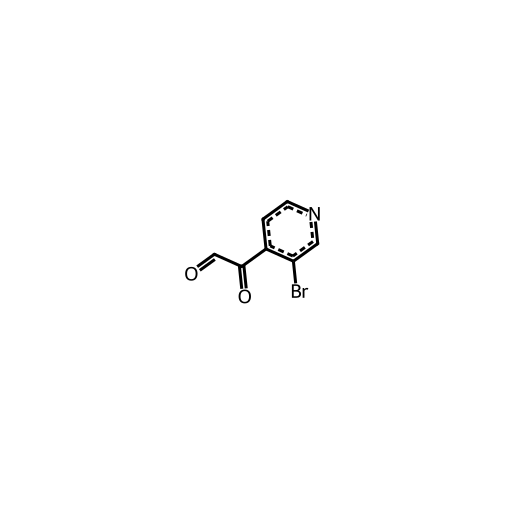 O=CC(=O)c1ccncc1Br